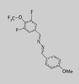 COc1ccc(C=NN=Cc2cc(F)c(OC(F)(F)F)c(F)c2)cc1